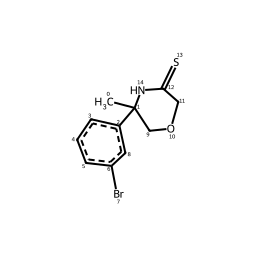 CC1(c2cccc(Br)c2)COCC(=S)N1